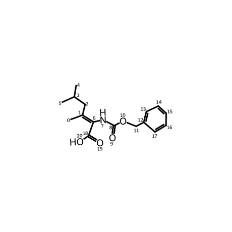 CC(CC(C)C)=C(NC(=O)OCc1ccccc1)C(=O)O